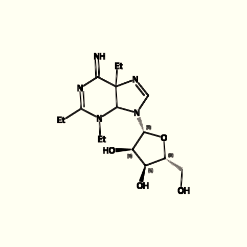 CCC1=NC(=N)C2(CC)N=CN([C@@H]3O[C@H](CO)[C@@H](O)[C@H]3O)C2N1CC